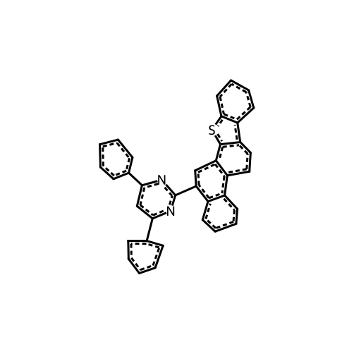 c1ccc(-c2cc(-c3ccccc3)nc(-c3cc4c(ccc5c6ccccc6sc54)c4ccccc34)n2)cc1